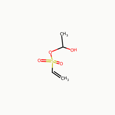 C=CS(=O)(=O)OC(C)O